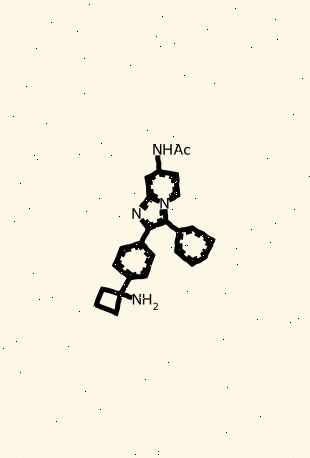 CC(=O)Nc1ccn2c(-c3ccccc3)c(-c3ccc(C4(N)CCC4)cc3)nc2c1